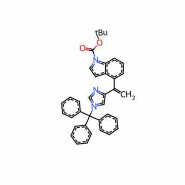 C=C(c1cn(C(c2ccccc2)(c2ccccc2)c2ccccc2)cn1)c1cccc2c1ccn2C(=O)OC(C)(C)C